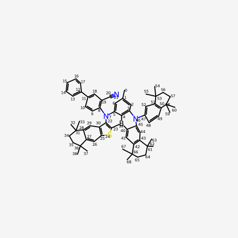 Cc1cc2c3c(c1)N(c1ccc(-c4ccccc4)cc1C#N)c1c(sc4cc5c(cc14)C(C)(C)CCC5(C)C)B3c1cc3c(cc1N2c1ccc2c(c1)C(C)(C)CCC2(C)C)C(C)(C)CCC3(C)C